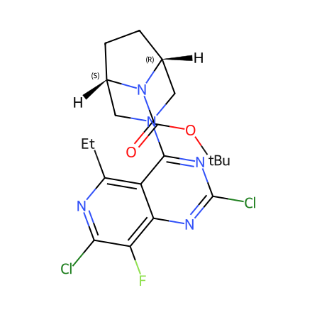 CCc1nc(Cl)c(F)c2nc(Cl)nc(N3C[C@H]4CC[C@@H](C3)N4C(=O)OC(C)(C)C)c12